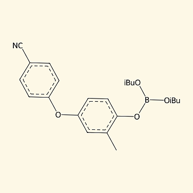 Cc1cc(Oc2ccc(C#N)cc2)ccc1OB(OCC(C)C)OCC(C)C